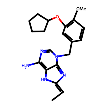 CC=c1nc2c([nH]1)=C(N)N=CN2Cc1ccc(OC)c(OC2CCCC2)c1